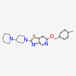 Cc1ccc(COc2cc3sc(N4CCC(N5CCCCC5)CC4)nc3cn2)cc1